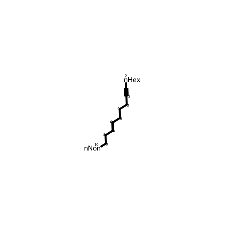 [CH2]CCCCCC#CCCCCCCCCCCCCCCC[CH2]